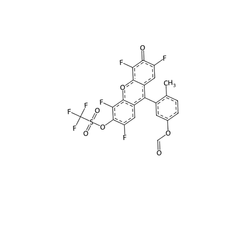 Cc1ccc(OC=O)cc1-c1c2cc(F)c(=O)c(F)c-2oc2c(F)c(OS(=O)(=O)C(F)(F)F)c(F)cc12